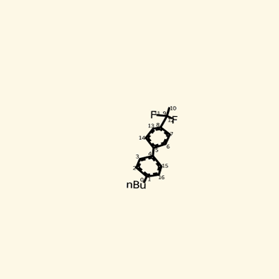 CCCCc1ccc(-c2ccc(C(C)(F)F)cc2)cc1